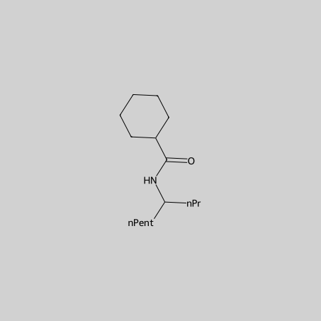 CCCCCC(CCC)NC(=O)C1CCCCC1